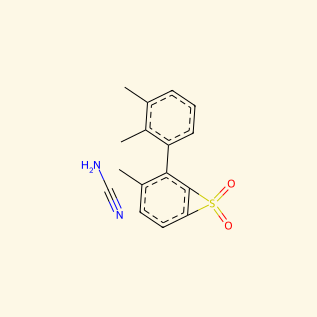 Cc1cccc(-c2c(C)ccc3c2S3(=O)=O)c1C.N#CN